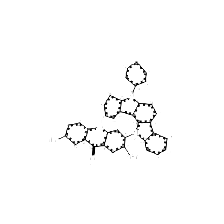 CC(C)c1ccc2oc3cc(-n4c5ccccc5c5ccc6c(c7ccccc7n6-c6ccccc6)c54)c(C(C)C)cc3c(=O)c2c1